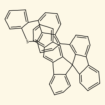 c1ccc2c(c1)Sc1ccc(-c3cccc4c3C3(c5ccccc5-c5cc6ccccc6cc53)c3ccccc3-4)c3cccc-2c13